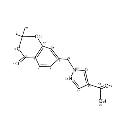 CC1(C)OC(=O)c2ccc(Cn3cc(C(=O)O)cn3)cc2O1